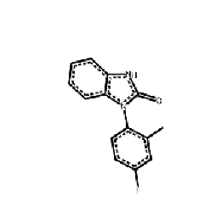 Cc1cc(F)ccc1-n1c(=O)[nH]c2ccccc21